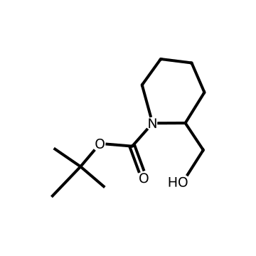 CC(C)(C)OC(=O)N1CCCCC1CO